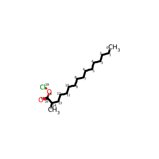 CCCCCCCCCCCCCCC(C)C(=O)OCl